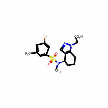 CN([C@@H]1CCCc2c1cnn2CC(=O)O)S(=O)(=O)c1cc(Br)cc(C(F)(F)F)c1